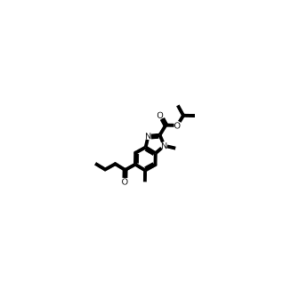 CCCC(=O)c1cc2nc(C(=O)OC(C)C)n(C)c2cc1C